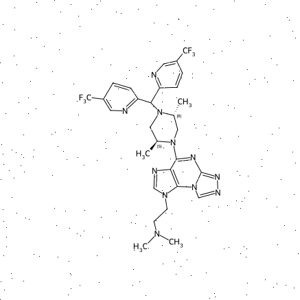 C[C@@H]1CN(c2nc3nncn3c3c2ncn3CCN(C)C)[C@@H](C)CN1C(c1ccc(C(F)(F)F)cn1)c1ccc(C(F)(F)F)cn1